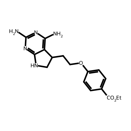 CCOC(=O)c1ccc(OCCC2CNc3nc(N)nc(N)c32)cc1